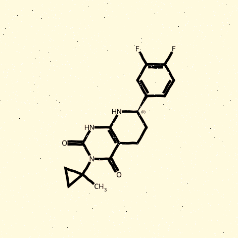 CC1(n2c(=O)[nH]c3c(c2=O)CC[C@H](c2ccc(F)c(F)c2)N3)CC1